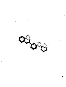 C1=C(c2cccc(OC3CCCCO3)c2)COc2ccccc21